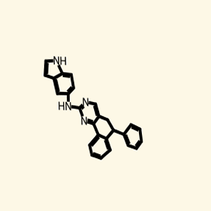 c1ccc(C2Cc3cnc(Nc4ccc5[nH]ccc5c4)nc3-c3ccccc32)cc1